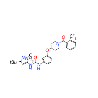 Cn1nc(C(C)(C)C)cc1NC(=O)Nc1cccc(OC2CCN(C(=O)c3ccccc3C(F)(F)F)CC2)c1